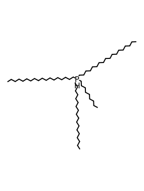 CCCCCCCCCCCCCCCCCC[PH](CCCCCCCCC)(CCCCCCCCCCCCCCCCCC)CCCCCCCCCCCCCCCCCC